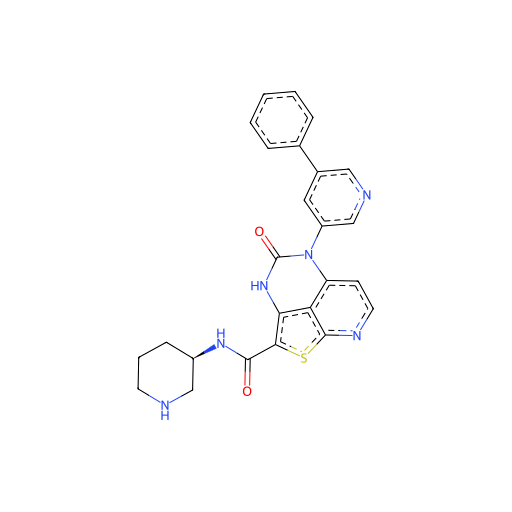 O=C(N[C@@H]1CCCNC1)c1sc2nccc3c2c1NC(=O)N3c1cncc(-c2ccccc2)c1